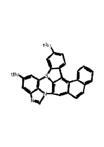 CC(C)(C)c1ccc2c(c1)B1c3c(cc4ccc5ccccc5c4c3-2)-n2cnc3cc(C(C)(C)C)cc1c32